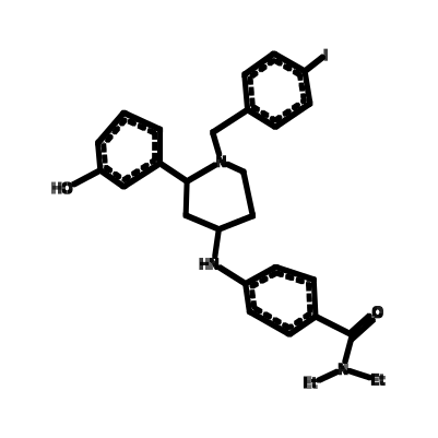 CCN(CC)C(=O)c1ccc(NC2CCN(Cc3ccc(I)cc3)C(c3cccc(O)c3)C2)cc1